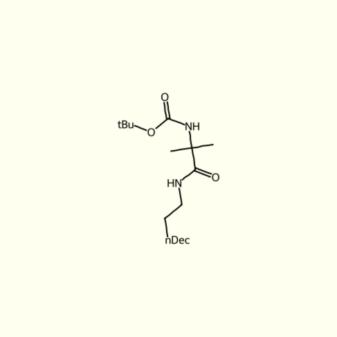 CCCCCCCCCCCCNC(=O)C(C)(C)NC(=O)OC(C)(C)C